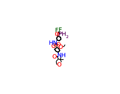 CCOc1cc(NC(=O)C2CCOCC2(C)C)ccc1S(=O)(=O)Nc1cccc(OC(F)(F)P)c1